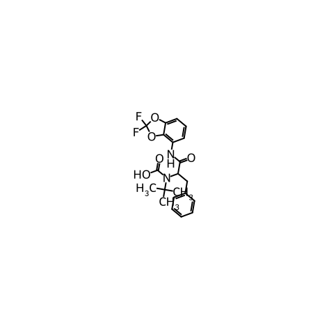 CC(C)(C)N(C(=O)O)C(Cc1ccccc1)C(=O)Nc1cccc2c1OC(F)(F)O2